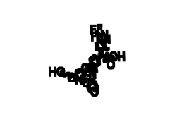 Cc1ccc([C@@H](c2ccn3c(C(F)(F)F)nnc3c2C)C(C)(C)C(=O)O)cc1CN1CC2(CCOCC2)Oc2nc(OCCO)ccc2S1(=O)=O